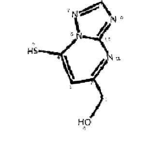 OCc1cc(S)n2ncnc2n1